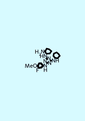 COc1ccc(Nc2nc(NC3CCCCCC3)nc(NC3CCCCC3N)n2)cc1F